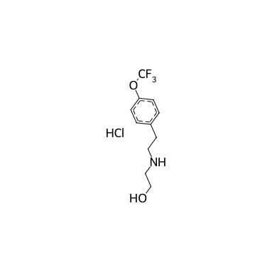 Cl.OCCNCCc1ccc(OC(F)(F)F)cc1